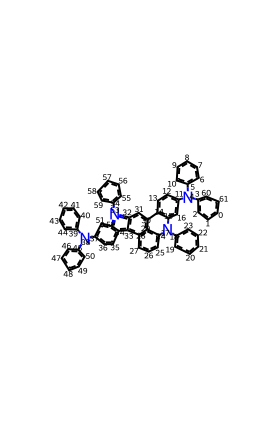 c1ccc(N(c2ccccc2)c2ccc3c(c2)N(c2ccccc2)c2cccc4c2c-3cc2c4c3ccc(N(c4ccccc4)c4ccccc4)cc3n2-c2ccccc2)cc1